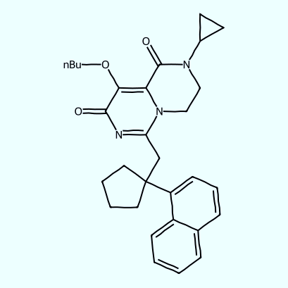 CCCCOc1c2n(c(CC3(c4cccc5ccccc45)CCCC3)nc1=O)CCN(C1CC1)C2=O